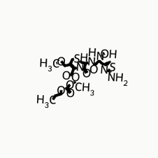 CCCOC(=O)OC(C)OC(=O)C1=C(COC)CS[C@H]2C(NC(=O)C(=NO)c3csc(N)n3)C(=O)N12